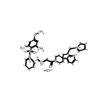 COc1cc(C)c(S(=O)(=O)N2CCCC[C@H]2COCC(=O)N2CCC(CCCN3CCCC3)(c3cccnc3)CC2)c(C)c1.Cl